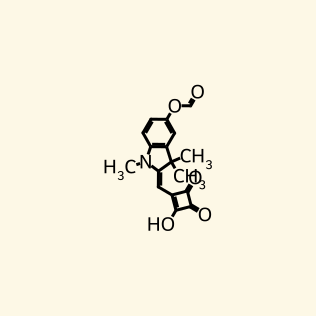 CN1/C(=C/c2c(O)c(=O)c2=O)C(C)(C)c2cc(OC=O)ccc21